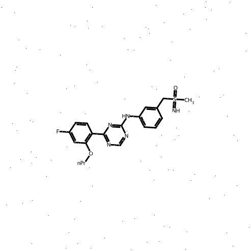 CCCOc1cc(F)ccc1-c1ncnc(Nc2cccc(CS(C)(=N)=O)c2)n1